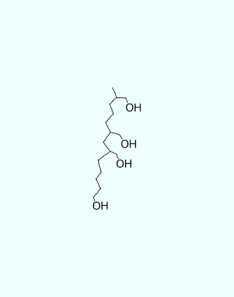 CC(CO)CCCC(CO)CC(CO)CCCCCO